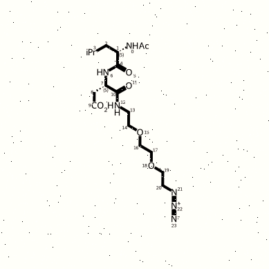 CC(=O)N[C@@H](CC(C)C)C(=O)N[C@@H](CC(=O)O)C(=O)NCCOCCOCCN=[N+]=[N-]